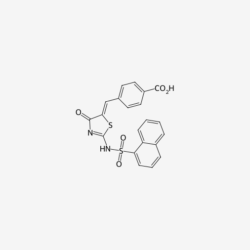 O=C1N=C(NS(=O)(=O)c2cccc3ccccc23)SC1=Cc1ccc(C(=O)O)cc1